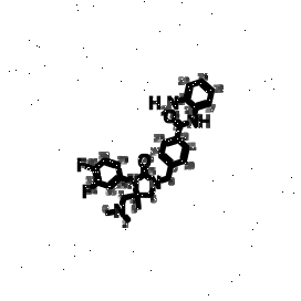 CN(C)CC1(C)CN(Cc2ccc(C(=O)Nc3ccccc3N)cc2)C(=O)N1c1ccc(F)c(F)c1